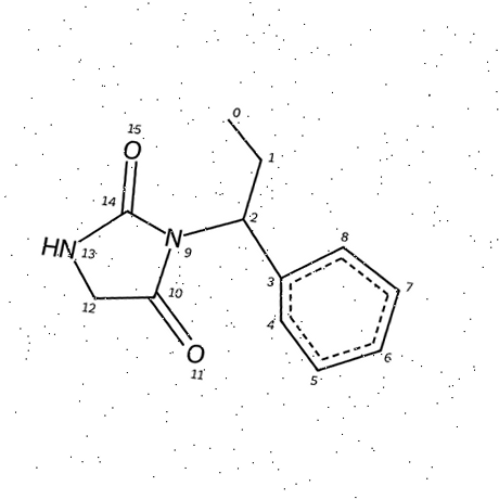 CCC(c1ccccc1)N1C(=O)CNC1=O